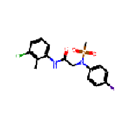 Cc1c(Cl)cccc1NC(=O)CN(c1ccc(I)cc1)S(C)(=O)=O